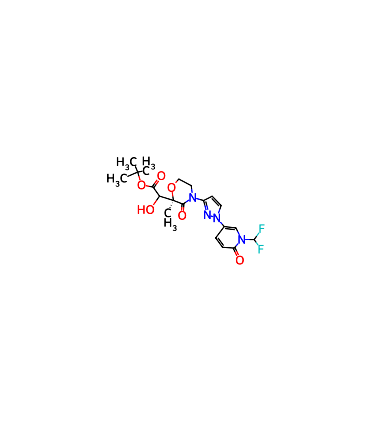 CC(C)(C)OC(=O)C(O)[C@@]1(C)OCCN(c2ccn(-c3ccc(=O)n(C(F)F)c3)n2)C1=O